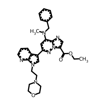 CCOC(=O)c1cnc2c(N(C)Cc3ccccc3)cc(-c3cn(CCN4CCOCC4)c4ncccc34)nn12